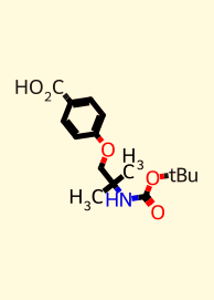 CC(C)(COc1ccc(C(=O)O)cc1)NC(=O)OC(C)(C)C